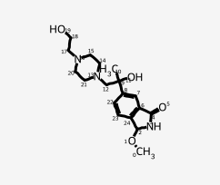 COC1NC(=O)c2cc(C(C)(O)CN3CCN(CCO)CC3)ccc21